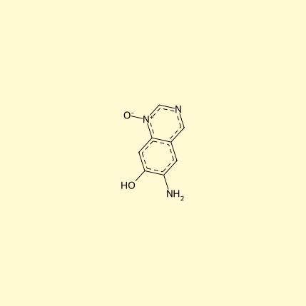 Nc1cc2cnc[n+]([O-])c2cc1O